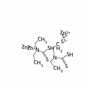 CCN(CC)C(=S)S.CCN(CC)C(=S)S.[S-2].[S-2].[Zn+2].[Zn+2].[Zn+2]